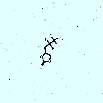 O=C1OCC(CC(F)(F)C(F)(F)C(F)(F)F)O1